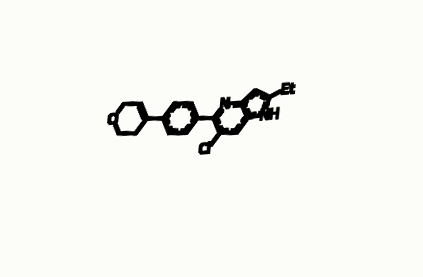 CCc1cc2nc(-c3ccc(C4=CCOCC4)cc3)c(Cl)cc2[nH]1